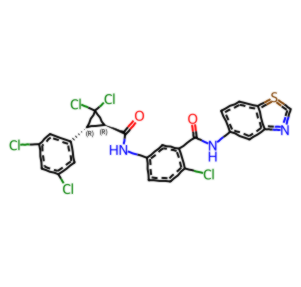 O=C(Nc1ccc2scnc2c1)c1cc(NC(=O)[C@H]2[C@H](c3cc(Cl)cc(Cl)c3)C2(Cl)Cl)ccc1Cl